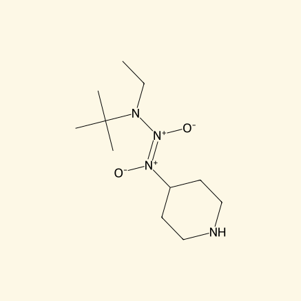 CCN([N+]([O-])=[N+]([O-])C1CCNCC1)C(C)(C)C